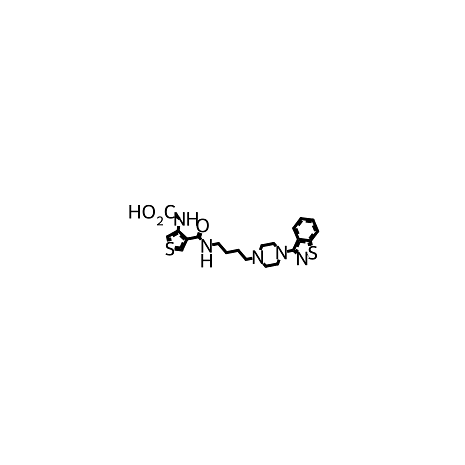 O=C(O)Nc1cscc1C(=O)NCCCCN1CCN(c2nsc3ccccc23)CC1